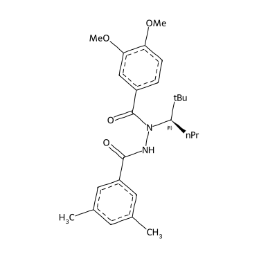 CCC[C@@H](N(NC(=O)c1cc(C)cc(C)c1)C(=O)c1ccc(OC)c(OC)c1)C(C)(C)C